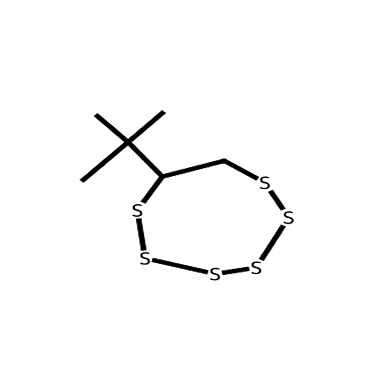 CC(C)(C)C1CSSSSSS1